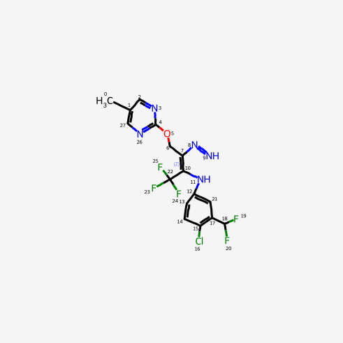 Cc1cnc(OC/C(N=N)=C(/Nc2ccc(Cl)c(C(F)F)c2)C(F)(F)F)nc1